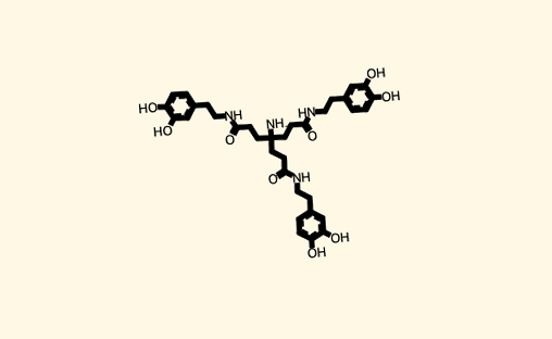 NC(CCC(=O)NCCc1ccc(O)c(O)c1)(CCC(=O)NCCc1ccc(O)c(O)c1)CCC(=O)NCCc1ccc(O)c(O)c1